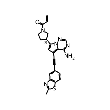 C=CC(=O)N1CC[C@H](c2cc(C#Cc3ccc4sc(C)nc4c3)c3c(N)ncnn23)C1